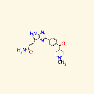 CN1CCC(C(=O)c2ccc(-c3cnc4[nH]cc(C=CC(N)=O)c4n3)cc2)CC1